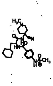 CN1CCC(C#N)(NC(=O)[C@H](CC2CCCCC2)NC(=O)c2ccc(NS(C)(=O)=O)cc2)CC1